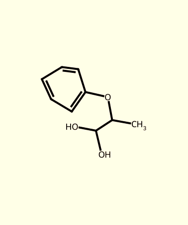 CC(Oc1ccccc1)C(O)O